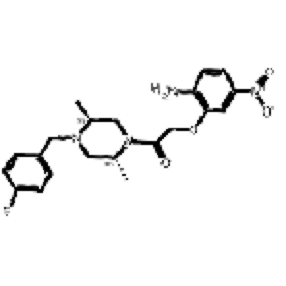 C[C@@H]1CN(Cc2ccc(F)cc2)[C@@H](C)CN1C(=O)COc1cc([N+](=O)[O-])ccc1N